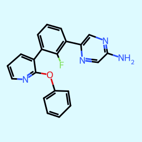 Nc1cnc(-c2cccc(-c3cccnc3Oc3ccccc3)c2F)cn1